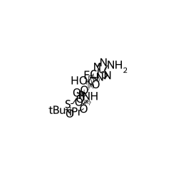 CC(C)OC(=O)[C@@H](C)N[P@](=O)(OCCSC(=O)C(C)(C)C)OC[C@H]1O[C@@H](n2cnc3c(N)ncnc32)[C@](F)(Cl)[C@@H]1O